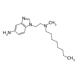 CCCCCCCCN(C)CCn1cnc2cc(N)ccc21